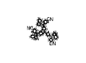 N#Cc1ccc(N(c2ccc(-n3c4ccc(N(c5ccc(C#N)cc5)c5cccc6ccccc56)cc4c4cc(N(c5ccc(C#N)cc5)c5cccc6ccccc56)ccc43)cc2)c2cccc3ccccc23)cc1